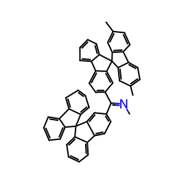 C/N=C(\c1ccc2c(c1)C1(c3ccccc3-c3ccccc31)c1ccccc1-2)c1ccc2c(c1)C1(c3ccccc3-2)c2cc(C)ccc2-c2ccc(C)cc21